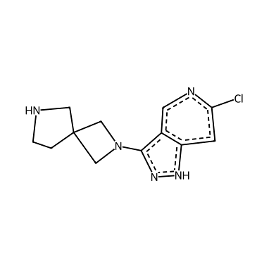 Clc1cc2[nH]nc(N3CC4(CCNC4)C3)c2cn1